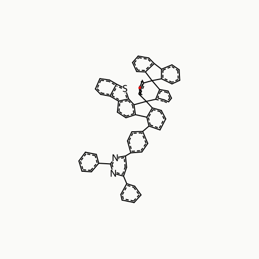 c1ccc(-c2cc(-c3ccc(-c4cccc5c4-c4ccc6c(sc7ccccc76)c4C54c5ccccc5C5(c6ccccc6-c6ccccc65)c5ccccc54)cc3)nc(-c3ccccc3)n2)cc1